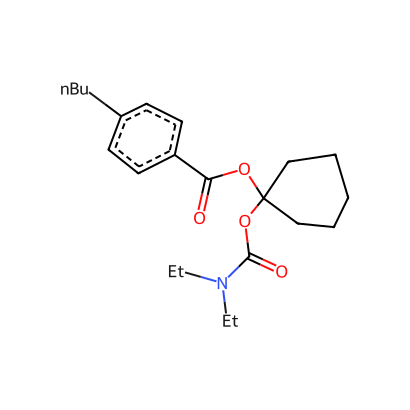 CCCCc1ccc(C(=O)OC2(OC(=O)N(CC)CC)CCCCC2)cc1